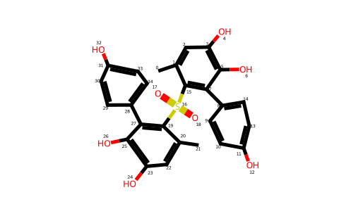 Cc1cc(O)c(O)c(-c2ccc(O)cc2)c1S(=O)(=O)c1c(C)cc(O)c(O)c1-c1ccc(O)cc1